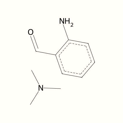 CN(C)C.Nc1ccccc1C=O